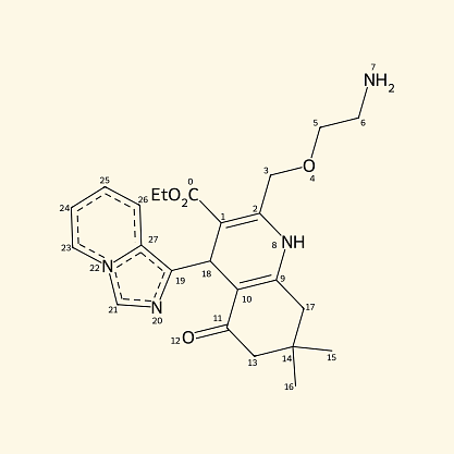 CCOC(=O)C1=C(COCCN)NC2=C(C(=O)CC(C)(C)C2)C1c1ncn2ccccc12